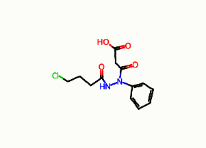 O=C(O)CC(=O)N(NC(=O)CCCCl)c1ccccc1